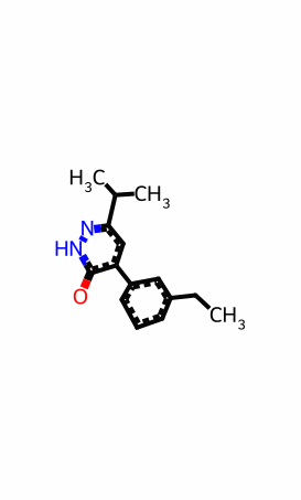 CCc1cccc(-c2cc(C(C)C)n[nH]c2=O)c1